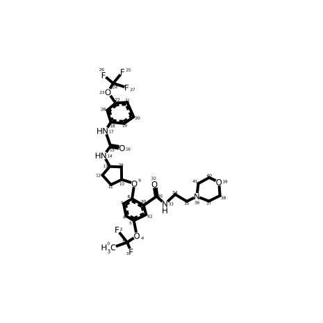 CC(F)(F)Oc1ccc(OC2CCC(NC(=O)Nc3cccc(OC(F)(F)F)c3)C2)c(C(=O)NCCN2CCOCC2)c1